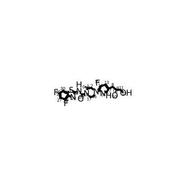 C[C@H]1CN(c2ncc(C[C@H](O)CO)cc2F)CCN1C(=O)Nc1nc2c(F)cc(F)cc2s1